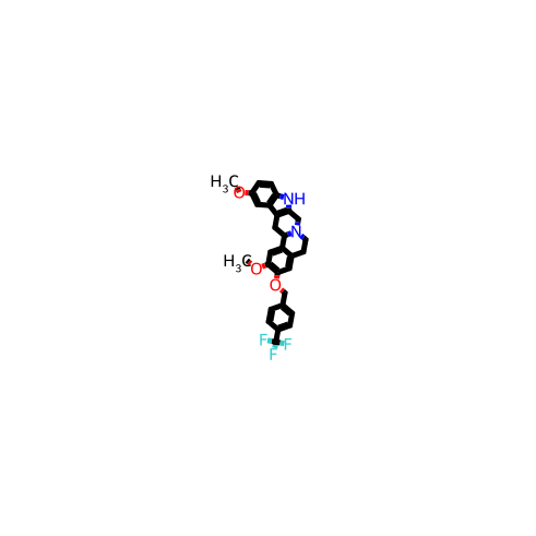 COc1ccc2[nH]c3c(c2c1)CC1c2cc(OC)c(OCc4ccc(C(F)(F)F)cc4)cc2CCN1C3